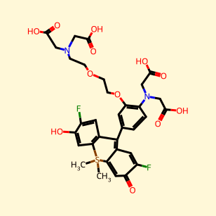 CS1(C)C2=CC(=O)C(F)=CC2=C(c2ccc(N(CC(=O)O)CC(=O)O)c(OCCOCCN(CC(=O)O)CC(=O)O)c2)c2cc(F)c(O)cc21